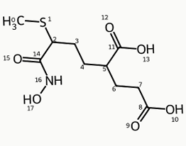 CSC(CCC(CCC(=O)O)C(=O)O)C(=O)NO